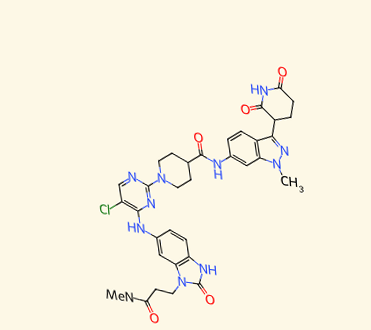 CNC(=O)CCn1c(=O)[nH]c2ccc(Nc3nc(N4CCC(C(=O)Nc5ccc6c(C7CCC(=O)NC7=O)nn(C)c6c5)CC4)ncc3Cl)cc21